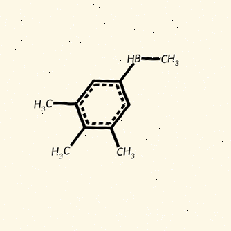 CBc1cc(C)c(C)c(C)c1